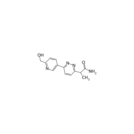 CC(C(N)=O)c1ccc(-c2ccc(CO)nc2)nn1